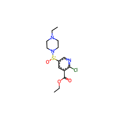 CCOC(=O)c1cc([S+]([O-])N2CCN(CC)CC2)cnc1Cl